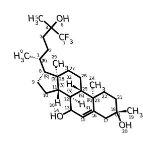 C[C@H](CCC(C)(O)C(F)(F)F)[C@H]1CC[C@H]2[C@@H]3C(O)C=C4C[C@@](C)(O)CC[C@]4(C)[C@H]3CC[C@]12C